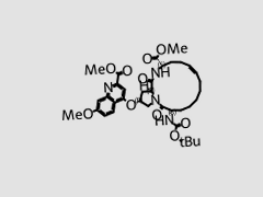 COC(=O)c1cc(O[C@@H]2C[C@H]3C(=O)N[C@H](C(=O)OC)CCC=CCCCCC[C@H](NC(=O)OC(C)(C)C)C(=O)N3C2)c2ccc(OC)cc2n1